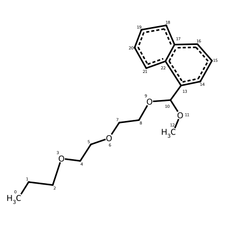 CCCOCCOCCOC(OC)c1cccc2ccccc12